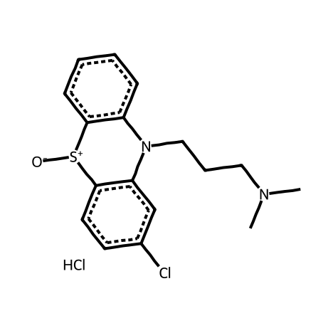 CN(C)CCCN1c2ccccc2[S+]([O-])c2ccc(Cl)cc21.Cl